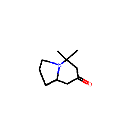 CC1(C)CC(=O)CC2CCCN21